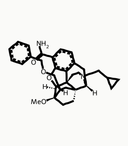 CO[C@]12CC[C@@]3(C[C@@H]1COCc1ccccc1)[C@H]1Cc4ccc(C(N)=O)c5c4[C@@]3(CCN1CC1CC1)[C@H]2O5